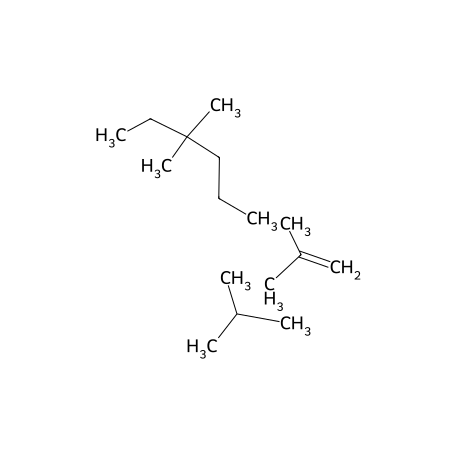 C=C(C)C.CC(C)C.CCCC(C)(C)CC